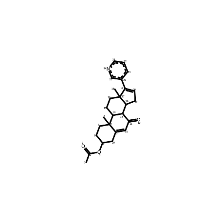 CC(=O)OC1CCC2(C)C(=CC(=O)C3C2CCC2(C)C(c4cccnc4)=CCC32)C1